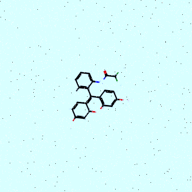 O=C(O)c1cccc(NC(=O)C(F)Br)c1C1=C2C=CC(O)=CC2Oc2cc(O)ccc21